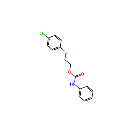 O=C(Nc1ccccc1)OCCOc1ccc(Cl)cc1